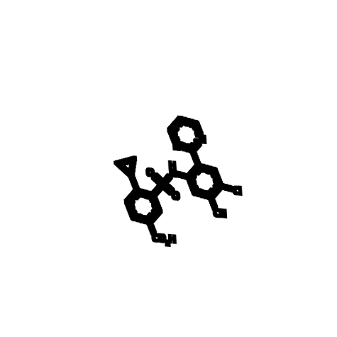 N#Cc1cc(NS(=O)(=O)c2cc(C(=O)O)ccc2C2CC2)c(-c2ncccn2)cc1Cl